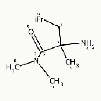 CC(C)CC(C)(N)C(=O)N(C)C